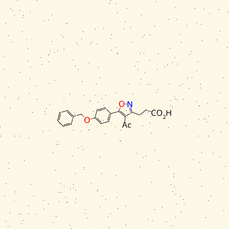 CC(=O)c1c(CCC(=O)O)noc1-c1ccc(OCc2ccccc2)cc1